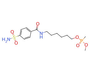 COP(C)(=O)OCCCCCCNC(=O)c1ccc(S(N)(=O)=O)cc1